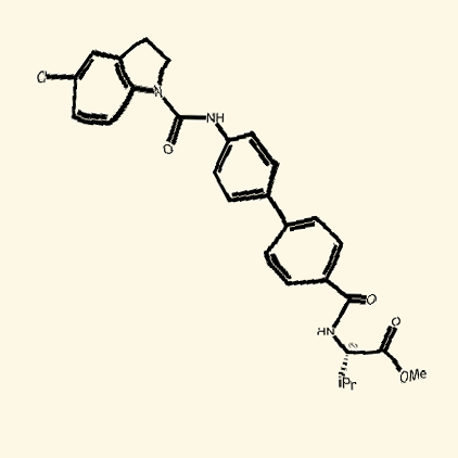 COC(=O)[C@@H](NC(=O)c1ccc(-c2ccc(NC(=O)N3CCc4cc(Cl)ccc43)cc2)cc1)C(C)C